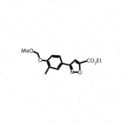 CCOC(=O)c1cc(-c2ccc(OCOC)c(C)c2)no1